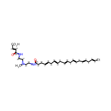 CCC=CCC=CCC=CCC=CCC=CCC=CCCC(=O)NCCN(C)CCNC(=O)C=CC(=O)O